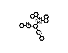 c1ccc(-c2ccc(-c3cc(-c4ccc(-c5ccccc5)nc4)cc(-c4nc(-c5cccc6ccccc56)nc(-c5cccc6ccccc56)n4)c3)cn2)cc1